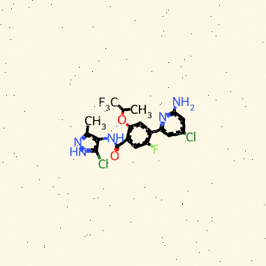 Cc1n[nH]c(Cl)c1NC(=O)c1cc(F)c(-c2cc(Cl)cc(N)n2)cc1OC(C)C(F)(F)F